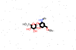 CC(C)Nc1cc(COC(C)(C)C)ccc1O[C@@H]1O[C@H](C(=O)O)[C@@H](O)[C@H](O)[C@H]1O